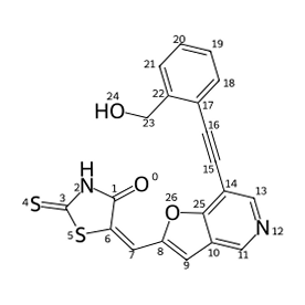 O=C1NC(=S)SC1=Cc1cc2cncc(C#Cc3ccccc3CO)c2o1